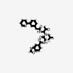 CC(=O)C(NC(=O)Cc1cccc(-c2ccccn2)c1)NC(=O)[C@H](CC(C)C)NC(=O)c1ccc2ocnc2c1